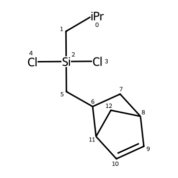 CC(C)C[Si](Cl)(Cl)CC1CC2C=CC1C2